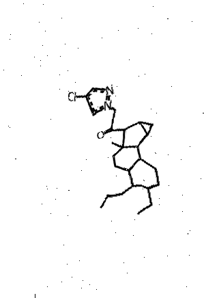 CCCC1C(CC)CCC2C1CCC1(C)C(C(=O)Cn3cc(Cl)cn3)C3CC3C21